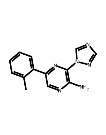 Cc1ccccc1-c1cnc(N)c(-n2cncn2)n1